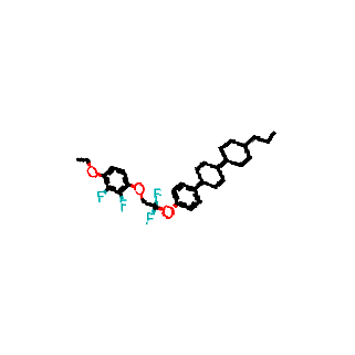 CCCC1CCC(C2CCC(c3ccc(OC(F)(F)COc4ccc(OCC)c(F)c4F)cc3)CC2)CC1